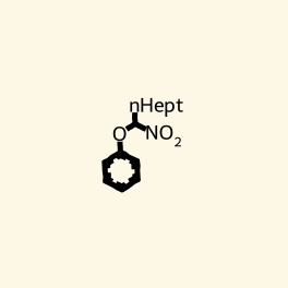 CCCCCCCC(Oc1ccccc1)[N+](=O)[O-]